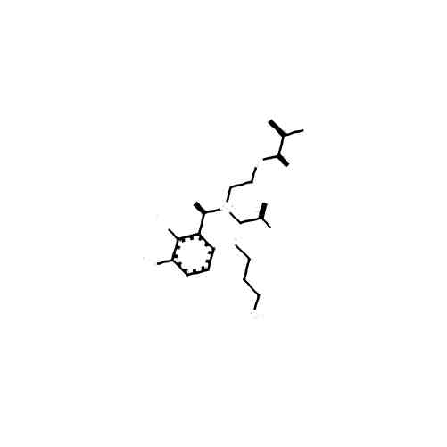 C=C(C)C(=O)OCCN(C(=O)c1cccc(O)c1O)[C@@H](CCCCN)C(=O)O